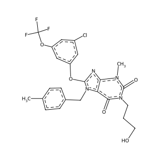 Cc1ccc(Cn2c(Oc3cc(Cl)cc(OC(F)(F)F)c3)nc3c2c(=O)n(CCCO)c(=O)n3C)cc1